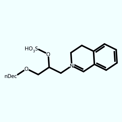 CCCCCCCCCCOCC(C[N+]1=Cc2ccccc2CC1)OS(=O)(=O)O